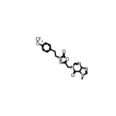 CN1C=NC2N=CN(Cc3nn(CCc4ccc(OC(F)(F)F)cc4)c(=O)o3)C(=O)C21